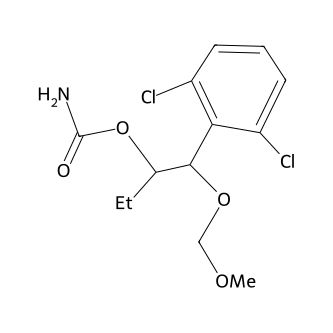 CCC(OC(N)=O)C(OCOC)c1c(Cl)cccc1Cl